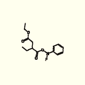 CCOC(=O)CC(CC)C(=O)ON(F)c1ccccc1